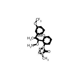 COc1cccc(-n2nnn(C)c2=O)c1/C(ON)=C(/C)c1cccc(OC(F)(F)F)c1